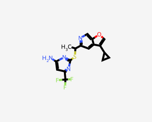 CC(Sc1nc(N)cc(C(F)(F)F)n1)c1cc2c(C3CC3)coc2cn1